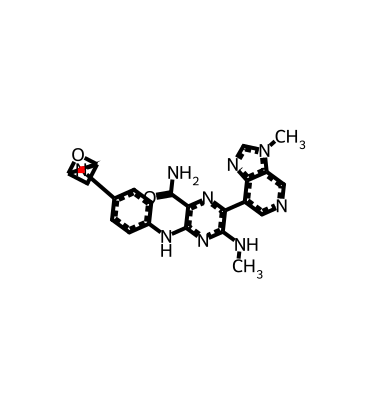 CNc1nc(Nc2ccc(N3CC4CC3O4)cc2)c(C(N)=O)nc1-c1cncc2c1ncn2C